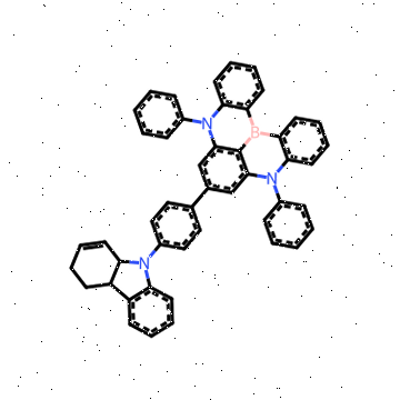 C1=CC2C(CC1)c1ccccc1N2c1ccc(-c2cc3c4c(c2)N(c2ccccc2)c2ccccc2B4c2ccccc2N3c2ccccc2)cc1